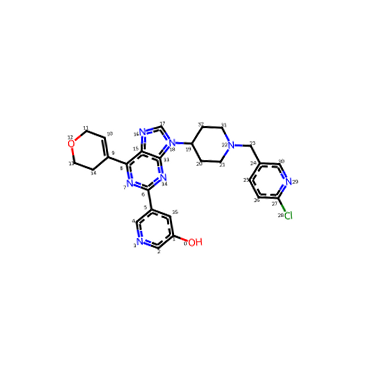 Oc1cncc(-c2nc(C3=CCOCC3)c3ncn(C4CCN(Cc5ccc(Cl)nc5)CC4)c3n2)c1